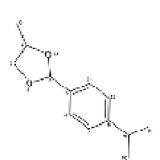 CC1COC(c2ccc(C(C)C)cc2)O1